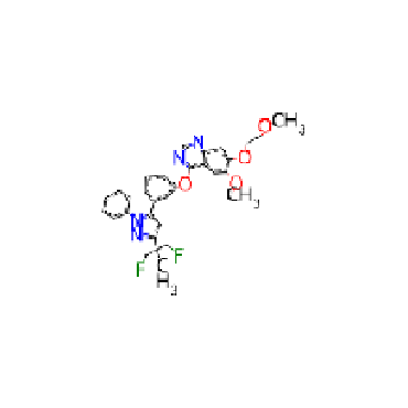 COCCOc1cc2ncnc(Oc3cccc(-c4cc(C(C)(CF)CF)nn4-c4ccccc4)c3)c2cc1OC